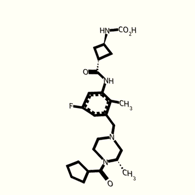 Cc1c(CN2CCN(C(=O)C3CCCC3)[C@@H](C)C2)cc(F)cc1NC(=O)[C@H]1C[C@H](NC(=O)O)C1